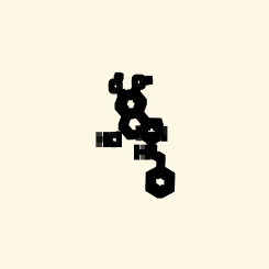 COc1cc2c(cc1OC)-c1cnc(NCc3ccccc3)n1CC2.Cl